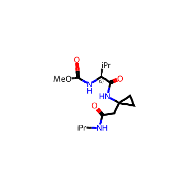 COC(=O)N[C@H](C(=O)NC1(CC(=O)NC(C)C)CC1)C(C)C